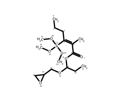 CCCC(=C(C)C(=O)OC(CC)OCC1CO1)[Si](OC)(OC)OC